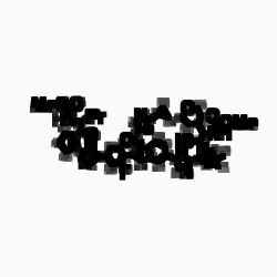 COC(=O)NC(C(=O)N1C[Si](C)(C)C[C@H]1c1ncc(-c2ccc3c(c2)cc2n3[C@H](c3cnc(C4CC4)s3)Oc3cc(-c4cnc([C@@H]5CCCN5C(=O)[C@@H](NC(=O)OC)C(C)C)[nH]4)cc(F)c3-2)[nH]1)C1CCOCC1